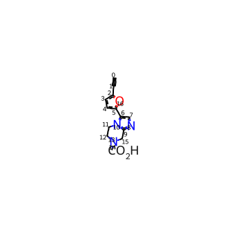 C#Cc1ccc(-c2cnc3n2CCN(C(=O)O)C3)o1